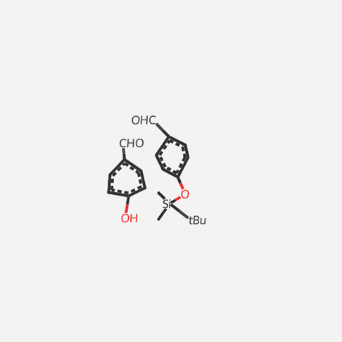 CC(C)(C)[Si](C)(C)Oc1ccc(C=O)cc1.O=Cc1ccc(O)cc1